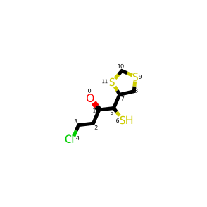 O=C(CCCl)C(S)C1CSCS1